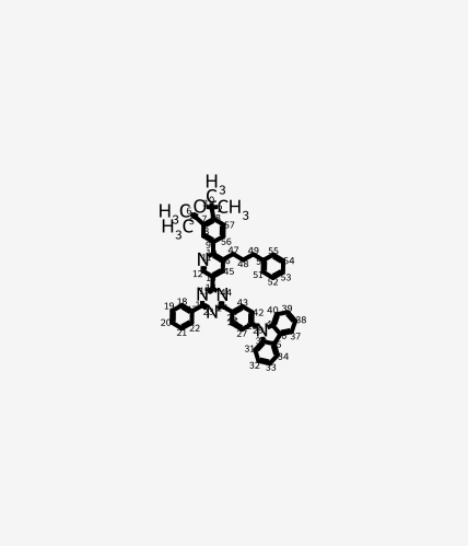 CC1(C)OC(C)(C)c2cc(-c3ncc(-c4nc(-c5ccccc5)nc(-c5ccc(-n6c7ccccc7c7ccccc76)cc5)n4)cc3CCCc3ccccc3)ccc21